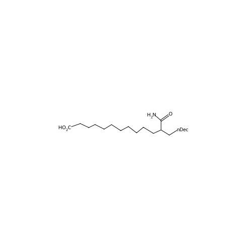 CCCCCCCCCCCC(CCCCCCCCCCC(=O)O)C(N)=O